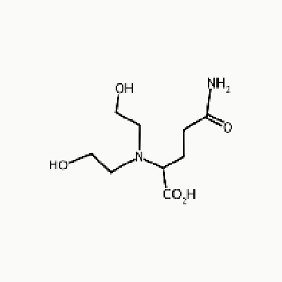 NC(=O)CCC(C(=O)O)N(CCO)CCO